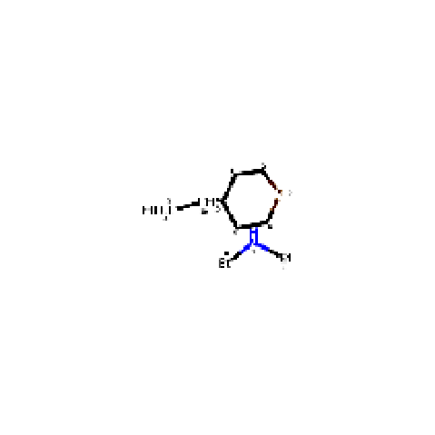 C1CCSCC1.CCNCC.CCOC(C)=O